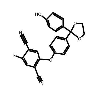 N#Cc1cc(Oc2ccc(C3(c4ccc(O)cc4)OCCO3)cc2)c(C#N)cc1F